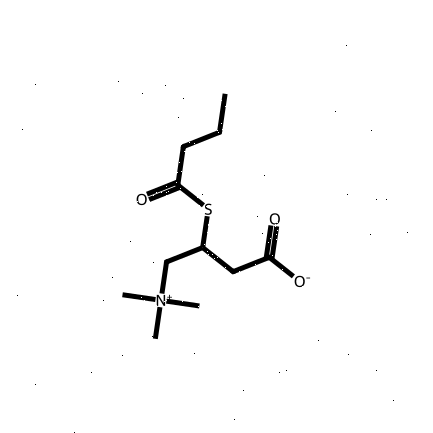 CCCC(=O)SC(CC(=O)[O-])C[N+](C)(C)C